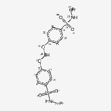 CCCNS(=O)(=O)c1ccc(OBOc2ccc(S(=O)(=O)NCCC)cc2)cc1